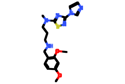 COc1ccc(CNCCCN(C)c2nc(-n3ccnc3)ns2)c(OC)c1